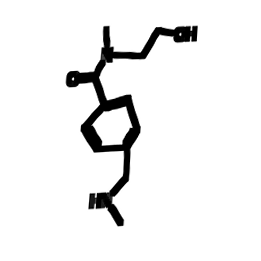 CNCc1ccc(C(=O)N(C)CCO)cc1